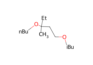 CCCCOC(C)(CC)CCOC(C)CC